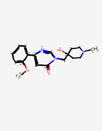 CN1CCC(O)(Cn2cnc(-c3ccccc3OC(F)(F)F)cc2=O)CC1